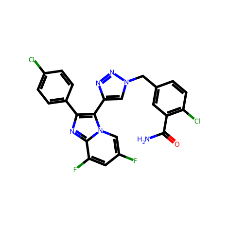 NC(=O)c1cc(Cn2cc(-c3c(-c4ccc(Cl)cc4)nc4c(F)cc(F)cn34)nn2)ccc1Cl